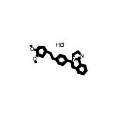 COc1ccc(CCc2ccc(C3=Cc4ccccc4C4=NCCN34)cc2)cc1OC.Cl